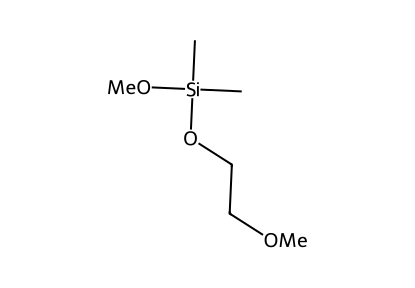 COCCO[Si](C)(C)OC